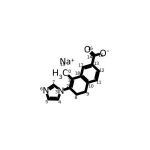 CC1=C(n2ccnc2)CCc2ccc(C(=O)[O-])cc21.[Na+]